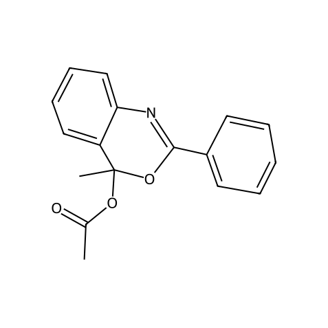 CC(=O)OC1(C)OC(c2ccccc2)=Nc2ccccc21